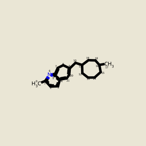 Cc1ccc2c(n1)=CCC(CC1CCCCC(C)CC1)=CC=2